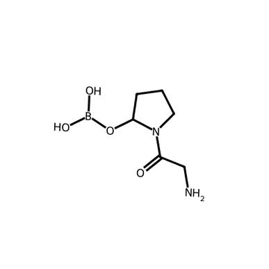 NCC(=O)N1CCCC1OB(O)O